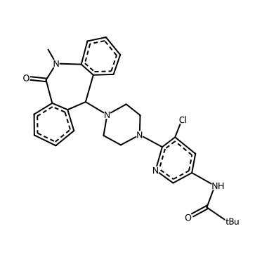 CN1C(=O)c2ccccc2C(N2CCN(c3ncc(NC(=O)C(C)(C)C)cc3Cl)CC2)c2ccccc21